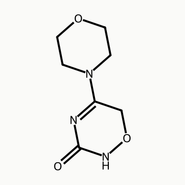 O=C1N=C(N2CCOCC2)CON1